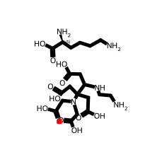 NCCCC[C@H](N)C(=O)O.NCCNC(CC(=O)O)C(CC(=O)O)(CC(=O)O)N(CC(=O)O)CC(=O)O